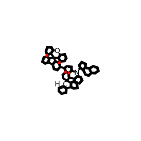 CC1(c2ccccc2-c2ccccc2)CC=CC=C1c1ccccc1N(c1ccc(-c2ccc3c(c2)C2(c4ccccc4Oc4ccccc42)c2ccccc2-3)cc1)c1cccc2c1ccc1ccccc12